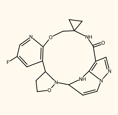 O=C1NC2(CC2)COc2ncc(F)cc2C2CCON2C2C=Cn3ncc1c3N2